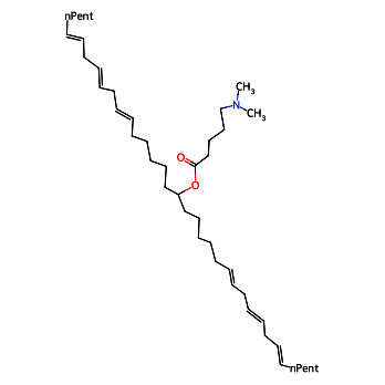 CCCCC/C=C/C/C=C/C/C=C/CCCCCC(CCCCC/C=C/C/C=C/C/C=C/CCCCC)OC(=O)CCCCN(C)C